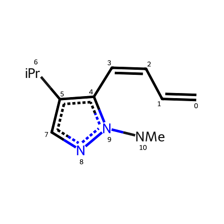 C=C/C=C\c1c(C(C)C)cnn1NC